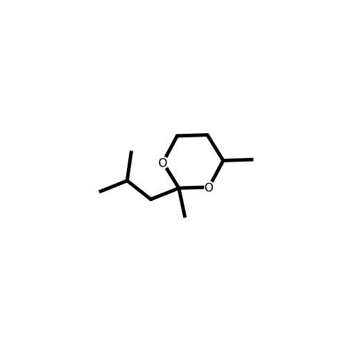 CC(C)CC1(C)OCCC(C)O1